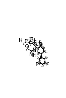 CC1(C)OCC(N)=N[C@](C)(c2cc(-c3cc(F)cc(F)c3)ccc2F)C1(F)F